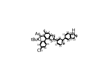 CC(=O)[C@@H](OC(C)(C)C)c1c(C)cc2nc(-c3ccnc(-c4ccc5[nH]ncc5c4)c3)sc2c1-c1ccc(Cl)cc1